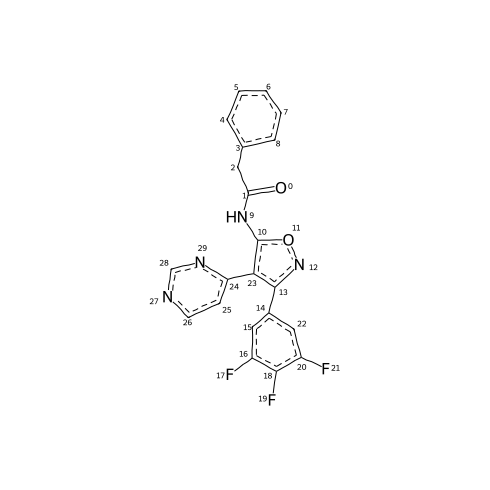 O=C(Cc1ccccc1)Nc1onc(-c2cc(F)c(F)c(F)c2)c1-c1ccncn1